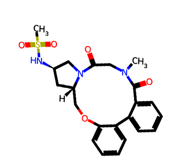 CN1CC(=O)N2C[C@H](NS(C)(=O)=O)C[C@H]2COc2ccccc2-c2ccccc2C1=O